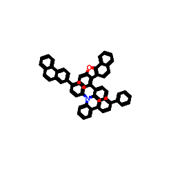 c1ccc(-c2ccc(-c3ccccc3N(c3ccc(-c4ccc5c(ccc6ccccc65)c4)cc3)c3ccccc3-c3cccc4oc5c6ccccc6ccc5c34)cc2)cc1